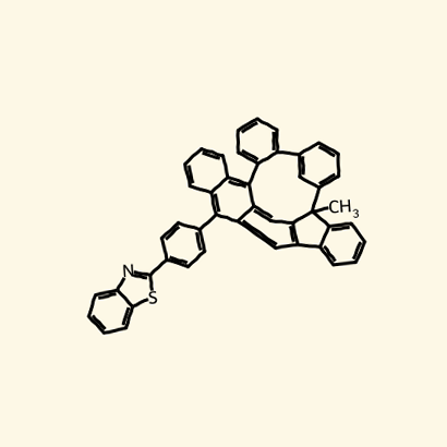 CC12c3cccc(c3)-c3ccccc3-c3c4ccccc4c(-c4ccc(-c5nc6ccccc6s5)cc4)c4cc(c1cc34)-c1ccccc12